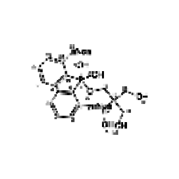 CCCCCCCCCc1ccccc1P(O)(O)(OCC(CO)(CO)CO)c1ccccc1CCCCCCCCC